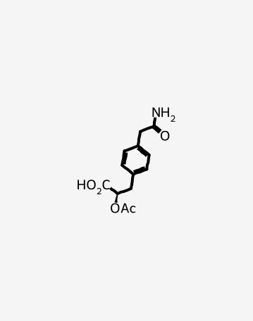 CC(=O)O[C@H](Cc1ccc(CC(N)=O)cc1)C(=O)O